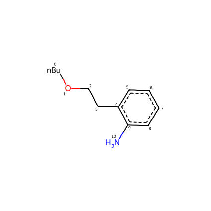 CCCCOCCc1ccccc1N